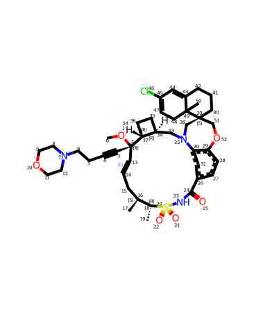 CO[C@@]1(C#CCCN2CCOCC2)/C=C/C[C@H](C)[C@@H](C)S(=O)(=O)NC(=O)c2ccc3c(c2)N(C[C@@H]2CC[C@H]21)C[C@@]1(CCCC2=CC(Cl)=CCC21C)CO3